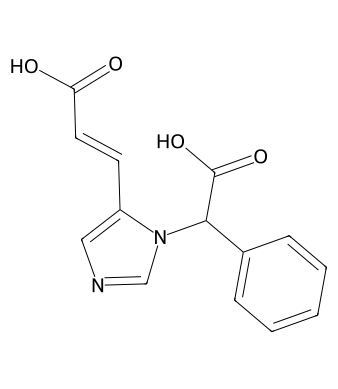 O=C(O)C=Cc1cncn1C(C(=O)O)c1ccccc1